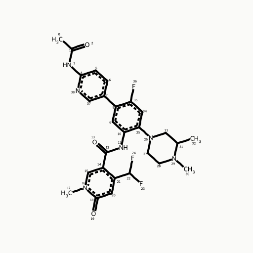 CC(=O)Nc1ccc(-c2cc(NC(=O)c3cn(C)c(=O)cc3C(F)F)c(N3CCN(C)C(C)C3)cc2F)cn1